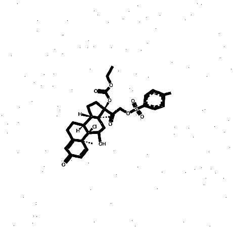 CCOC(=O)O[C@]1(C(=O)COS(=O)(=O)c2ccc(C)cc2)CC[C@H]2[C@@H]3CCC4=CC(=O)C=C[C@]4(C)[C@@]3(Cl)C(O)C[C@@]21C